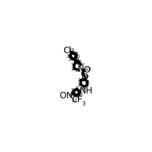 O=Nc1ccc(NC2CCC(OCC(=O)N3CCCN(c4ccc(Cl)cc4)CC3)CC2)cc1C(F)(F)F